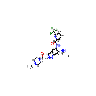 CNc1cc2nn(CC(=O)N3CCN(C)CC3)cc2cc1NC(=O)c1cccc(C(F)(F)F)n1